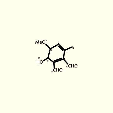 COC1C=C(C)C(C=O)=C(C=O)C1O